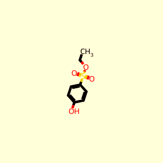 CCOS(=O)(=O)c1ccc(O)cc1